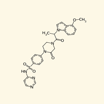 COc1cccc2c1ccn2C(C)C(=O)N1CCN(c2ccc(S(=O)(=O)Nc3ccncn3)cc2)C(=O)C1